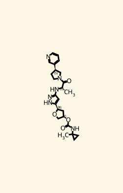 C[C@H](Nc1cc([C@H]2C[C@@H](OC(=O)NC3(C)CC3)CO2)[nH]n1)C(=O)N1CC[C@@H](c2cccnc2)C1